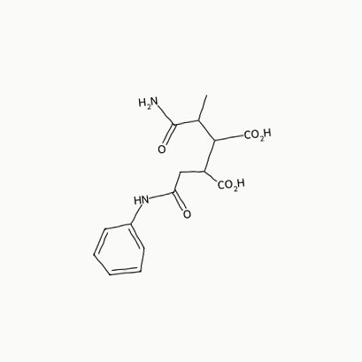 CC(C(N)=O)C(C(=O)O)C(CC(=O)Nc1ccccc1)C(=O)O